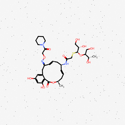 C[C@@H]1C/C=C/[C@H](NC(=O)CS[C@H](OC(CO)[C@H](C)O)[C@@H](O)CO)C/C=C/C(=N\OCC(=O)N2CCCCC2)Cc2cc(O)cc(O)c2C(=O)O1